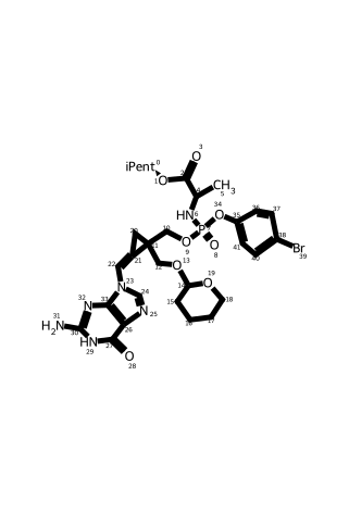 CCC[C@H](C)OC(=O)C(C)NP(=O)(OCC1(COC2CCCCO2)C/C1=C/n1cnc2c(=O)[nH]c(N)nc21)Oc1ccc(Br)cc1